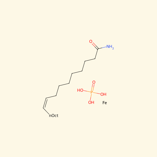 CCCCCCCC/C=C\CCCCCCCC(N)=O.O=P(O)(O)O.[Fe]